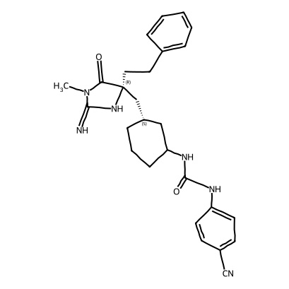 CN1C(=N)N[C@](CCc2ccccc2)(C[C@H]2CCCC(NC(=O)Nc3ccc(C#N)cc3)C2)C1=O